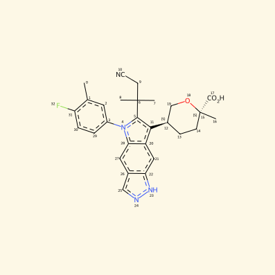 Cc1cc(-n2c(C(C)(C)CC#N)c([C@@H]3CC[C@@](C)(C(=O)O)OC3)c3cc4[nH]ncc4cc32)ccc1F